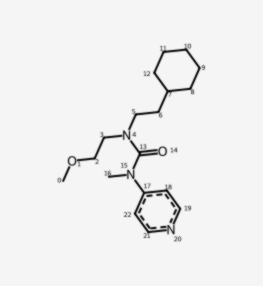 COCCN(CCC1CCCCC1)C(=O)N(C)c1ccncc1